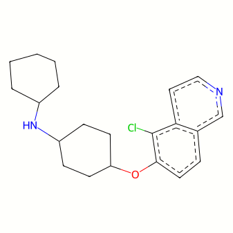 Clc1c(OC2CCC(NC3CCCCC3)CC2)ccc2cnccc12